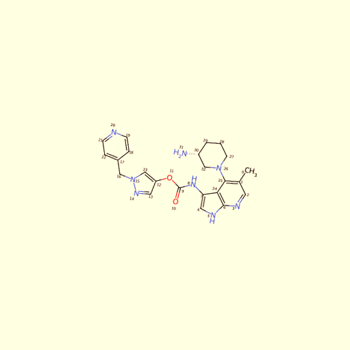 Cc1cnc2[nH]cc(NC(=O)Oc3cnn(Cc4ccncc4)c3)c2c1N1CCC[C@@H](N)C1